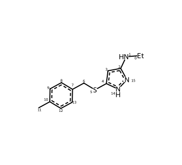 CCNc1cc(SCc2ccc(C)cc2)[nH]n1